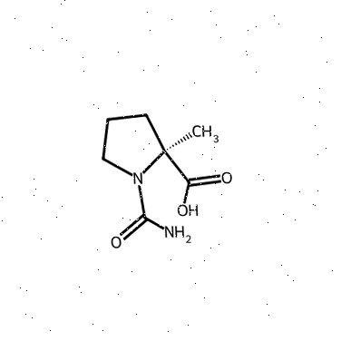 C[C@@]1(C(=O)O)CCCN1C(N)=O